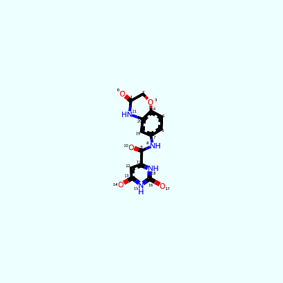 O=C1COc2ccc(NC(=O)c3cc(=O)[nH]c(=O)[nH]3)cc2N1